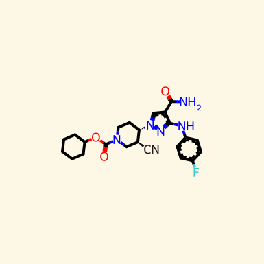 N#C[C@H]1CN(C(=O)OC2CCCCC2)CC[C@@H]1n1cc(C(N)=O)c(Nc2ccc(F)cc2)n1